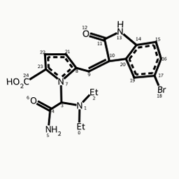 CCN(CC)C(C(N)=O)n1c(C=C2C(=O)Nc3ccc(Br)cc32)ccc1C(=O)O